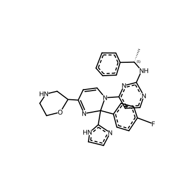 C[C@H](Nc1nccc(N2C=CC(C3CNCCO3)=NC2(c2ccc(F)cc2)c2ncc[nH]2)n1)c1ccccc1